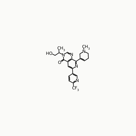 CC(CO)n1cnc2c(C3=CCCN(C)C3)nc(-c3ccc(C(F)(F)F)nc3)cc2c1=O